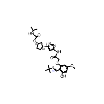 COc1cc(O)c(/C=N/C(C)(C)C)c(OCC(=O)Nc2cc([C@H]3CC[C@@H](OC(=O)NC(C)C)C3)[nH]n2)c1